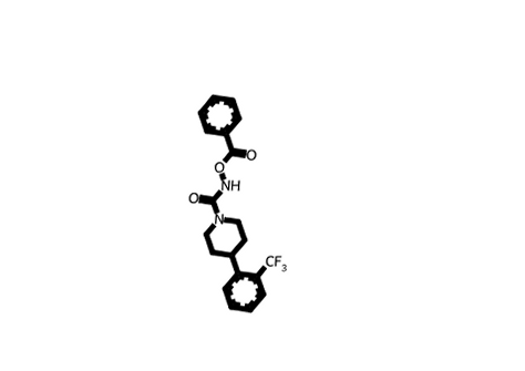 O=C(ONC(=O)N1CCC(c2ccccc2C(F)(F)F)CC1)c1ccccc1